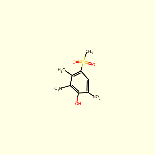 Cc1c(S(C)(=O)=O)cc([N+](=O)[O-])c(O)c1[N+](=O)[O-]